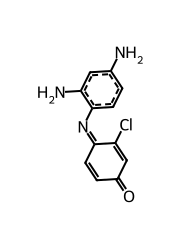 Nc1ccc(N=C2C=CC(=O)C=C2Cl)c(N)c1